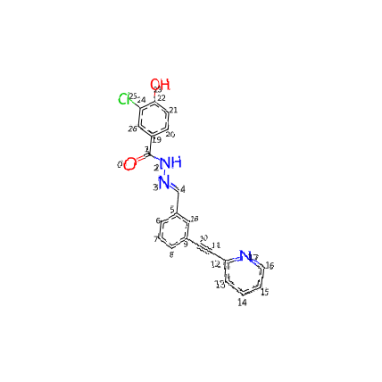 O=C(N/N=C/c1cccc(C#Cc2ccccn2)c1)c1ccc(O)c(Cl)c1